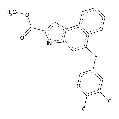 COC(=O)c1cc2c(cc(Sc3ccc(Cl)c(Cl)c3)c3ccccc32)[nH]1